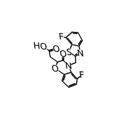 O=C(O)CC1Oc2cccc(F)c2N(Cc2nc3cccc(F)c3s2)C1=O